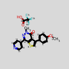 COc1ccc(-c2csc3c(-c4ccncc4)nn(C)c(=O)c23)cc1.O=C(O)C(F)(F)F